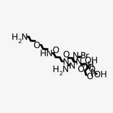 NCCCOCCCNC(=O)CCCn1c(N)nc2c(nc(Br)n2[C@@H]2OC3COP(O)O[C@H]3C2O)c1=O